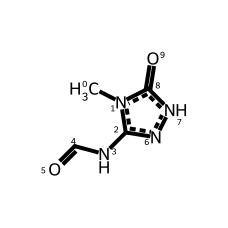 Cn1c(NC=O)n[nH]c1=O